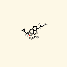 C=C(CC)[C@@H]1Oc2c(OC(=O)CC(C)(C)C)ccc3c2[C@@]12CCN(CC1CC1)C(C3)[C@@]2(C)O